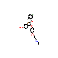 CCNCCCOc1ccc(Oc2c(C(=O)c3cc(F)ccc3C)sc3cc(O)ccc23)cc1